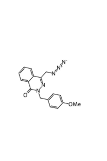 COc1ccc(Cn2nc(CN=[N+]=[N-])c3ccccc3c2=O)cc1